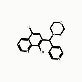 Oc1c(C(c2ccncc2)N2CCOCC2)cc(Cl)c2cccnc12